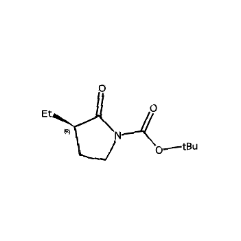 CC[C@@H]1CCN(C(=O)OC(C)(C)C)C1=O